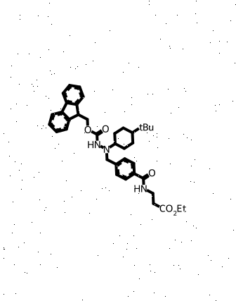 CCOC(=O)CCNC(=O)c1ccc(CN(NC(=O)OCC2c3ccccc3-c3ccccc32)C2CCC(C(C)(C)C)CC2)cc1